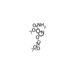 CC(C)Oc1cc2c(OC3CCN(C(=O)OC(C)(C)C)C3)ccnc2cc1C(N)=O